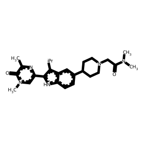 Cc1nc(-c2[nH]c3ccc(C4CCN(CC(=O)N(C)C)CC4)cc3c2C(C)C)cn(C)c1=O